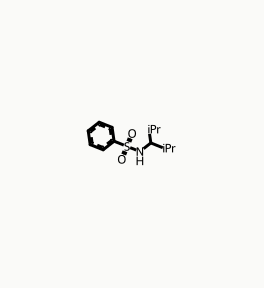 CC(C)C(NS(=O)(=O)c1ccccc1)C(C)C